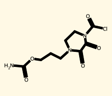 NC(=O)OCCCN1CCN(C(=O)Cl)C(=O)C1=O